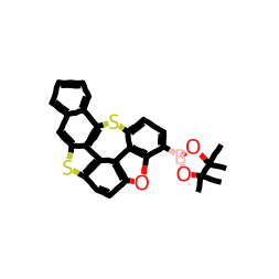 CC1(C)OB(c2ccc3sc4c5ccccc5cc5sc6ccc7oc2c3c7c6c54)OC1(C)C